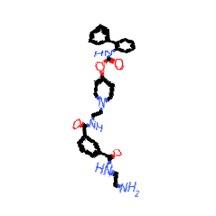 NCCNC(=O)c1cccc(C(=O)NCCN2CCC(OC(=O)Nc3ccccc3-c3ccccc3)CC2)c1